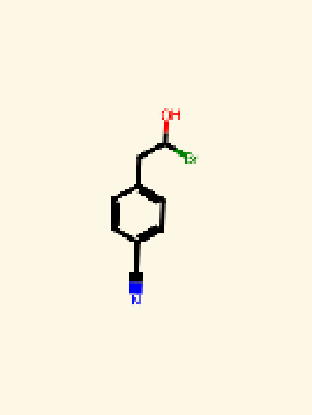 N#Cc1ccc(CC(O)Br)cc1